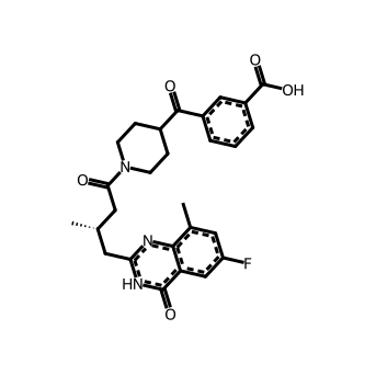 Cc1cc(F)cc2c(=O)[nH]c(C[C@H](C)CC(=O)N3CCC(C(=O)c4cccc(C(=O)O)c4)CC3)nc12